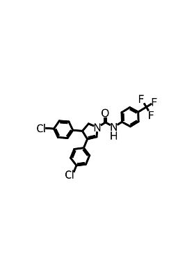 O=C(Nc1ccc(C(F)(F)F)cc1)N1C=C(c2ccc(Cl)cc2)C(c2ccc(Cl)cc2)C1